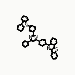 c1ccc(-c2cc(-c3ccc(-c4nc5c6ccccc6sc5c5ccccc45)cc3)nc(-c3cccc(-n4c5ccccc5c5ccccc54)c3)n2)cc1